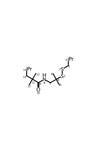 CC(C)CSSC(C)(C)CNC(=O)C(C)(C)CC(C)C